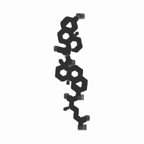 C[C@@H](CCC(=O)O)C(=O)Nc1ccc2c(c1)[C@@]1(C)CCC[C@](C)(C(=O)N3C(=O)[C@]34CCC[C@]3(C)c5cc(O)ccc5CCC43)[C@@H]1CC2